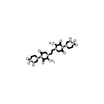 CC1C(=O)N(N2CCS(=O)(=O)NC2)C(=O)CN1CCN1CC(=O)N(N2CCS(=O)(=O)NC2)C(=O)C1C